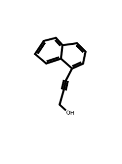 OCC#Cc1cccc2ccccc12